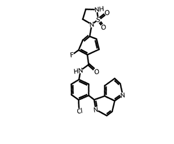 O=C(Nc1ccc(Cl)c(-c2nccc3ncccc23)c1)c1ccc(N2CCNS2(=O)=O)cc1F